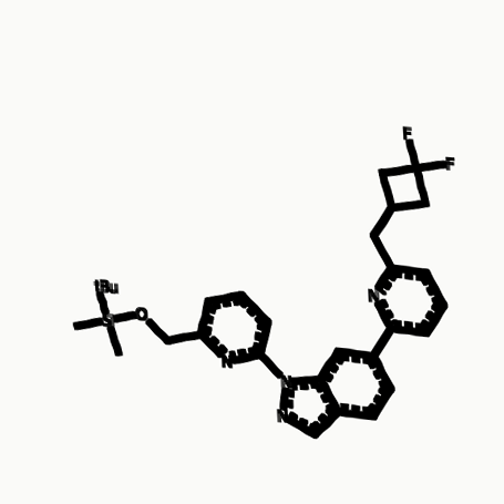 CC(C)(C)[Si](C)(C)OCc1cccc(-n2ncc3ccc(-c4cccc(CC5CC(F)(F)C5)n4)cc32)n1